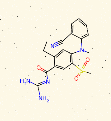 CCc1cc(N(C)c2ccccc2C#N)c(S(C)(=O)=O)cc1C(=O)N=C(N)N